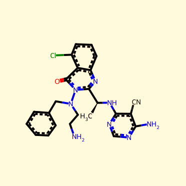 C[C@H](Nc1ncnc(N)c1C#N)c1nc2cccc(Cl)c2c(=O)n1N(CCN)Cc1ccccc1